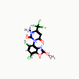 COc1nc2c(-n3c(=O)cc(C(F)(F)F)n(C)c3=O)c(F)cc(Cl)c2o1